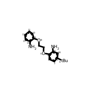 CC(C)(C)c1ccc(OCCOc2ccccc2N)c(N)c1